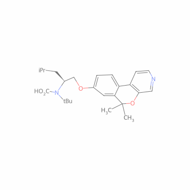 CC(C)C[C@@H](COc1ccc2c(c1)C(C)(C)Oc1cnccc1-2)N(C(=O)O)C(C)(C)C